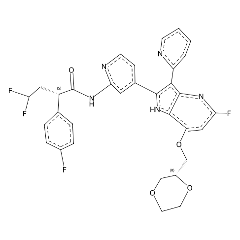 O=C(Nc1cc(-c2[nH]c3c(OC[C@H]4COCCO4)cc(F)nc3c2-c2ccccn2)ccn1)[C@@H](CC(F)F)c1ccc(F)cc1